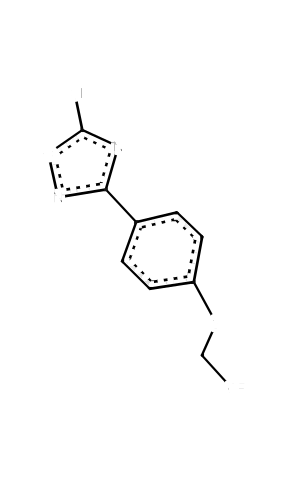 FC(F)(F)CSc1ccc(-c2noc(C(F)(F)F)n2)cc1